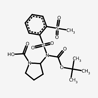 CC(C)(C)OC(=O)N(C1CCCN1C(=O)O)S(=O)(=O)c1ccccc1S(C)(=O)=O